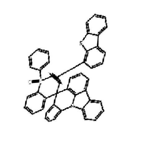 O=P1(c2ccccc2)c2ccccc2C2(c3ccccc3-n3c4ccccc4c4cccc2c43)c2cc(-c3cccc4c3sc3ccccc34)ccc21